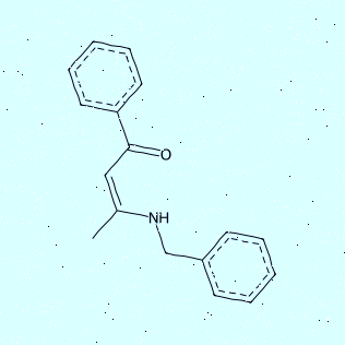 C/C(=C/C(=O)c1ccccc1)NCc1ccccc1